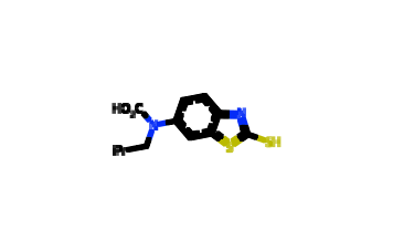 CC(C)CN(C(=O)O)c1ccc2nc(S)sc2c1